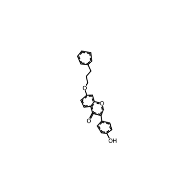 O=c1c(-c2ccc(O)cc2)coc2cc(OCCCc3ccccc3)ccc12